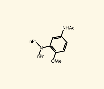 CCCN(CCC)c1cc(NC(C)=O)ccc1OC